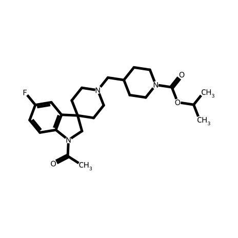 CC(=O)N1CC2(CCN(CC3CCN(C(=O)OC(C)C)CC3)CC2)c2cc(F)ccc21